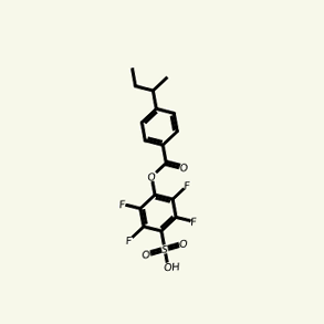 CCC(C)c1ccc(C(=O)Oc2c(F)c(F)c(S(=O)(=O)O)c(F)c2F)cc1